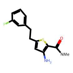 CNC(=O)c1sc(CCc2cccc(F)c2)cc1N